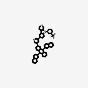 FC(F)(F)C1=CC(n2c3ccc(-c4cncc(-c5ccc6c(-c7ccc8ccccc8c7)c7ccccc7c(-c7ccc8ccccc8c7)c6c5)c4)cc3c3ccncc32)CC=C1